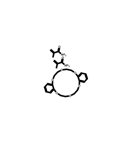 C=C(C)C(N)=O.C=C(C)C(N)=O.c1ccc2c(c1)OCCOCCOc1ccccc1OCCOCCO2